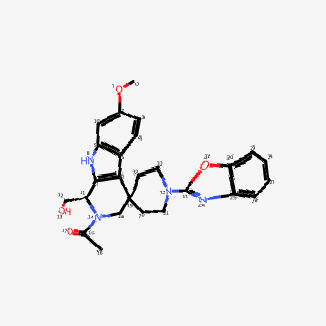 COc1ccc2c3c([nH]c2c1)[C@H](CO)N(C(C)=O)CC31CCN(c2nc3ccccc3o2)CC1